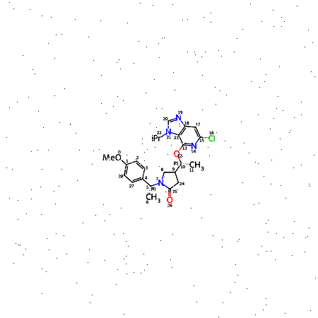 COc1ccc([C@@H](C)N2CC([C@@H](C)Oc3nc(Cl)cc4ncn(C(C)C)c34)CC2=O)cc1